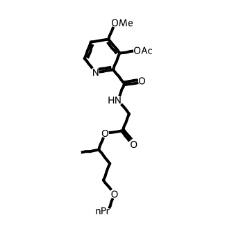 CCCOCCC(C)OC(=O)CNC(=O)c1nccc(OC)c1OC(C)=O